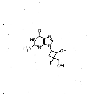 Nc1nc2c(ncn2C2CC(F)(CO)C2O)c(=O)[nH]1